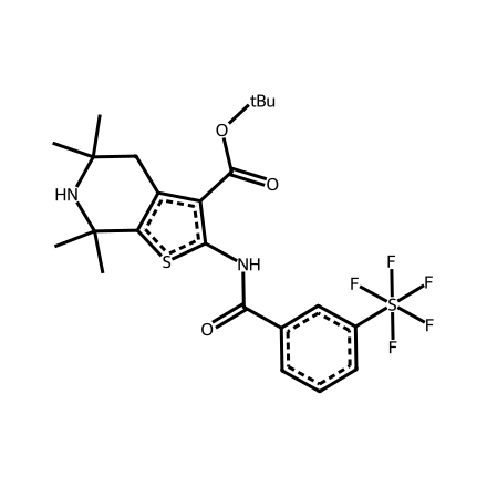 CC1(C)Cc2c(sc(NC(=O)c3cccc(S(F)(F)(F)(F)F)c3)c2C(=O)OC(C)(C)C)C(C)(C)N1